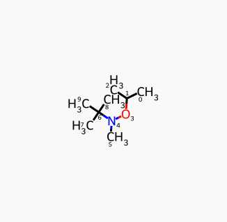 CC(C)ON(C)C(C)(C)C